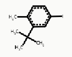 Cc1ccc(I)cc1C(C)(C)C